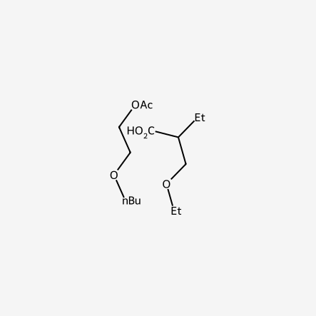 CCCCOCCOC(C)=O.CCOCC(CC)C(=O)O